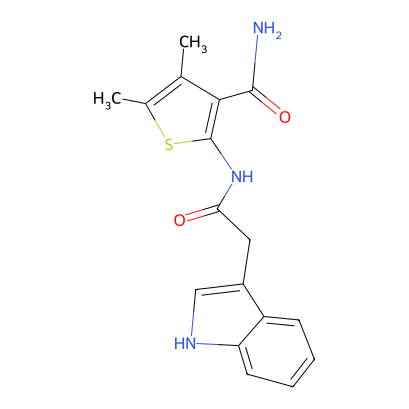 Cc1sc(NC(=O)Cc2c[nH]c3ccccc23)c(C(N)=O)c1C